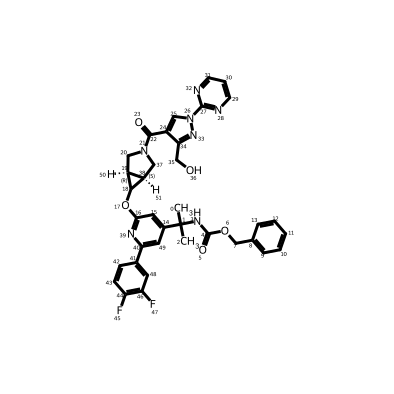 CC(C)(NC(=O)OCc1ccccc1)c1cc(OC2[C@H]3CN(C(=O)c4cn(-c5ncccn5)nc4CO)C[C@@H]23)nc(-c2ccc(F)c(F)c2)c1